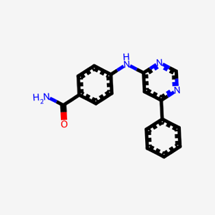 NC(=O)c1ccc(Nc2cc(-c3ccccc3)ncn2)cc1